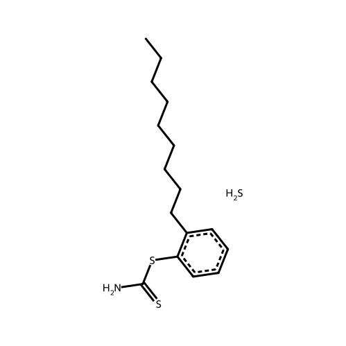 CCCCCCCCCc1ccccc1SC(N)=S.S